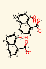 O=C([O-])c1cccc2cccc(O)c12.O=C([O-])c1cccc2cccc(O)c12.[Mg+2]